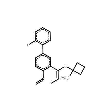 C=Nc1ccc(-c2ccccc2F)cc1/C(=C\C)SC1(C(=O)OCC)CCC1